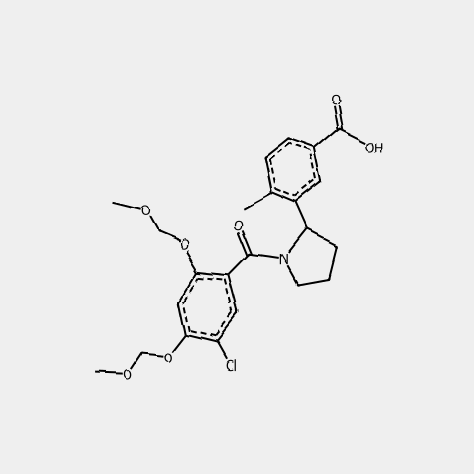 COCOc1cc(OCOC)c(C(=O)N2CCCC2c2cc(C(=O)O)ccc2C)cc1Cl